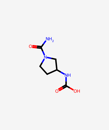 NC(=O)N1CCC(NC(=O)O)C1